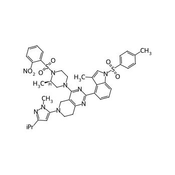 Cc1ccc(S(=O)(=O)n2cc(C)c3c(-c4nc5c(c(N6CCN(S(=O)(=O)c7ccccc7[N+](=O)[O-])[C@H](C)C6)n4)CN(c4cc(C(C)C)nn4C)CC5)cccc32)cc1